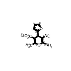 [C-]#[N+]C1=C(N)OC(C)=C(C(=O)OCC)C1c1ccco1